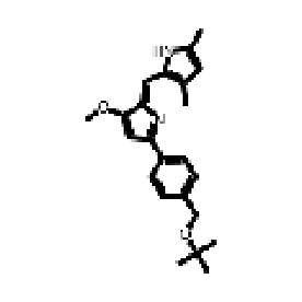 COC1=CC(c2ccc(COC(C)(C)C)cc2)=N/C1=C\c1[nH]c(C)cc1C